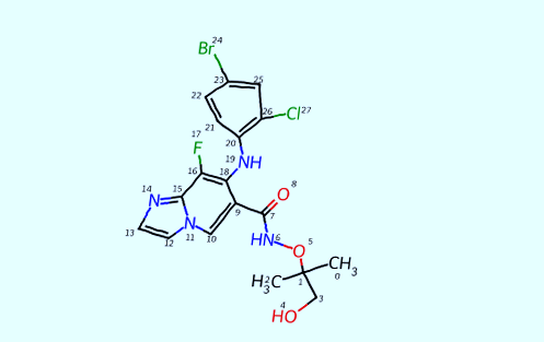 CC(C)(CO)ONC(=O)c1cn2ccnc2c(F)c1Nc1ccc(Br)cc1Cl